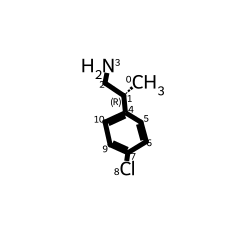 C[C@@H](CN)c1ccc(Cl)cc1